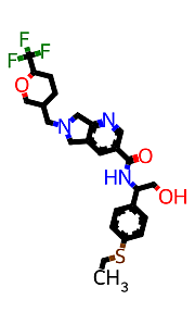 CCSc1ccc(C(CO)NC(=O)c2cnc3c(c2)CN(CC2CCC(C(F)(F)F)OC2)C3)cc1